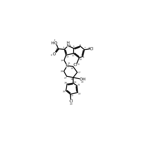 O=C(O)c1[nH]c2cc(Cl)cc(Cl)c2c1CN1CCC(O)(c2ccc(Cl)cc2)CC1